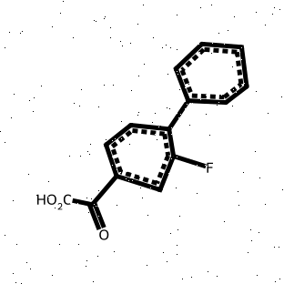 O=C(O)C(=O)c1ccc(-c2ccccc2)c(F)c1